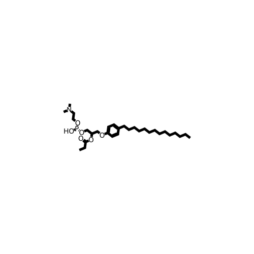 CCCCCCCCCCCCCCc1ccc(OCC(COP(O)OCCN(C)C)OC(=O)CC)cc1